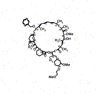 COCCO[C@@H]1CC[C@@H](C[C@@H](C)[C@@H]2CC(=O)[C@H](C)/C=C(\C)[C@@H](O)[C@@H](OC)C(=O)[C@H](C)C[C@H](C)/C=C/C=C/C=C(\C)[C@@H](OCc3cnccn3)C[C@@H]3CC[C@@H](C)[C@@](O)(O3)C(=O)C(=O)N3CCCC[C@H]3C(=O)O2)C[C@H]1OC